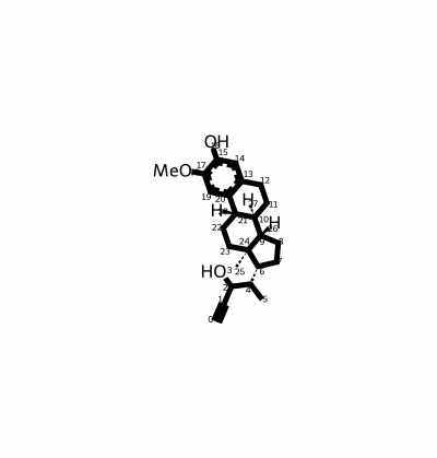 C#CC(O)C(C)[C@H]1CC[C@H]2[C@@H]3CCc4cc(O)c(OC)cc4[C@H]3CC[C@]12C